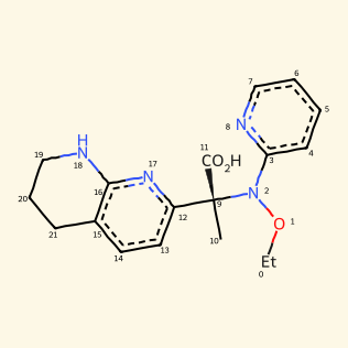 CCON(c1ccccn1)[C@@](C)(C(=O)O)c1ccc2c(n1)NCCC2